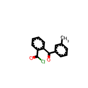 Cc1cccc(C(=O)c2ccccc2C(=O)Cl)c1